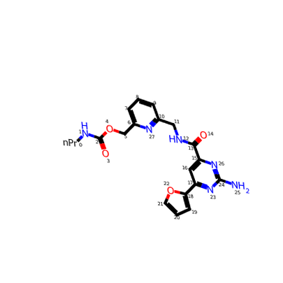 CCCNC(=O)OCc1cccc(CNC(=O)c2cc(-c3ccco3)nc(N)n2)n1